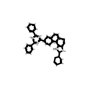 C1=CCC(C2Nc3c(ccc4ccc5cc(-c6nc(-c7ccccc7)nc(-c7ccccc7)n6)ccc5c34)S2)C=C1